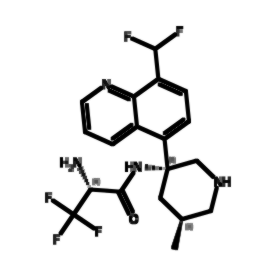 C[C@@H]1CNC[C@](NC(=O)[C@@H](N)C(F)(F)F)(c2ccc(C(F)F)c3ncccc23)C1